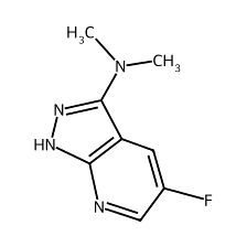 CN(C)c1n[nH]c2ncc(F)cc12